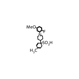 COc1ccc(F)c(N2CCC(C3(S(=O)(=O)O)C=CC(C)=CC3)CC2)c1